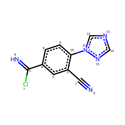 N#Cc1cc(C(=N)Cl)ccc1-n1cncn1